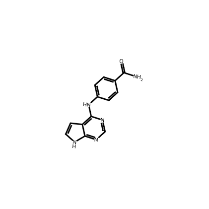 NC(=O)c1ccc(Nc2ncnc3[nH]ccc23)cc1